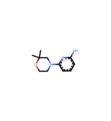 CC1(C)CN(c2cccc(N)n2)CCO1